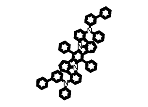 c1ccc(-c2cccc(N(c3ccccc3)c3cccc4c3c3cccc5c6c(-c7ccccc7)c7c(c(-c8ccccc8)c6n4c35)c3cccc4c5c(N(c6ccccc6)c6cccc(-c8ccccc8)c6)cccc5n7c43)c2)cc1